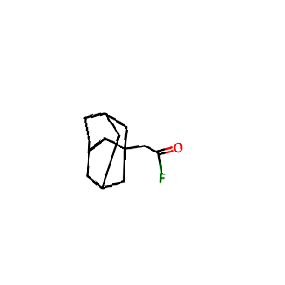 O=C(F)CC12CC3CC(CC(C3)C1)C2